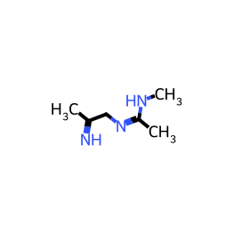 CN/C(C)=N\CC(C)=N